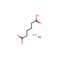 N.O=C([O-])CCCCC(=O)O.[Ag+]